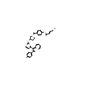 CN(C)C/C=C/C(=O)Nc1ccc(C(=O)N2CCC(Nc3nccc(-c4c(-c5ccc(F)cc5)nn5ccccc45)n3)C2)cc1